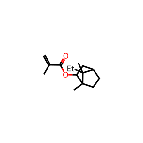 C=C(C)C(=O)OC1CC2CCC1(C)C2(C)CC